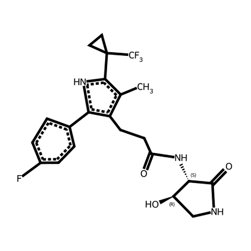 Cc1c(C2(C(F)(F)F)CC2)[nH]c(-c2ccc(F)cc2)c1CCC(=O)N[C@@H]1C(=O)NC[C@H]1O